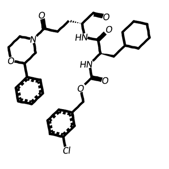 O=C[C@@H](CCC(=O)N1CCOC(c2ccccc2)C1)NC(=O)[C@@H](CC1CCCCC1)NC(=O)OCc1cccc(Cl)c1